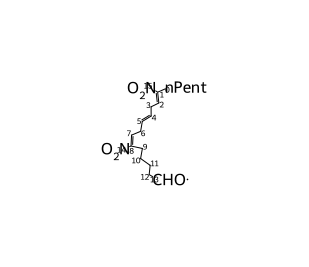 CCCCCC(=CCC=CCC=C(CCCC[C]=O)[N+](=O)[O-])[N+](=O)[O-]